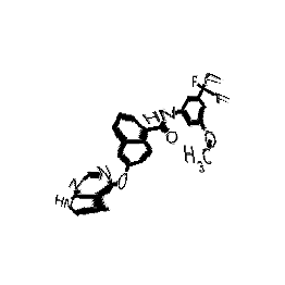 COc1cc(NC(=O)c2cccc3cc(Oc4ncnc5[nH]ccc45)ccc23)cc(C(F)(F)F)c1